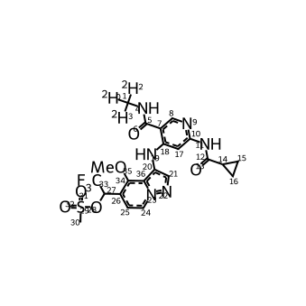 [2H]C([2H])([2H])NC(=O)c1cnc(NC(=O)C2CC2)cc1Nc1cnn2ccc(C(OS(C)(=O)=O)C(F)(F)F)c(OC)c12